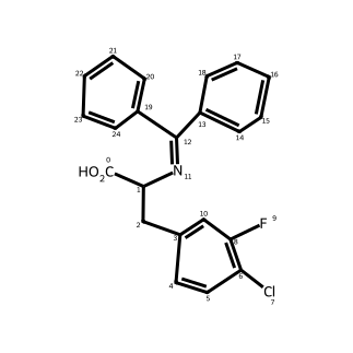 O=C(O)C(Cc1ccc(Cl)c(F)c1)N=C(c1ccccc1)c1ccccc1